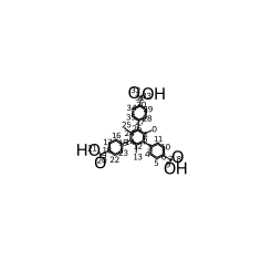 Cc1c(-c2ccc(C(=O)O)cc2)c(C)c(-c2ccc(C(=O)O)cc2)c(C)c1-c1ccc(C(=O)O)cc1